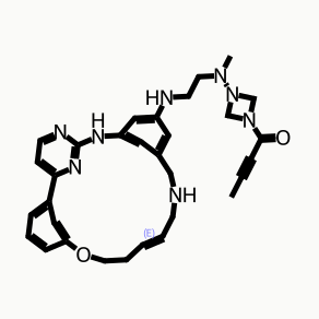 CC#CC(=O)N1CN(N(C)CCNc2cc3cc(c2)Nc2nccc(n2)-c2cccc(c2)OCC/C=C/CNC3)C1